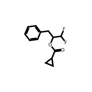 O=C(OC(Cc1ccccc1)C(F)F)C1CC1